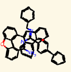 N/C(=N\C(=N/Cc1ccccc1)c1ccc(-c2ccccc2)cc1)c1cccc2oc3cccc(-c4cc5ccccc5c5ccccc45)c3c12